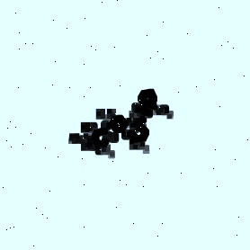 CN[C@@H]1[C@@H](O)[C@@H](O[C@@H]2[C@@H](O)[C@H](O[C@H]3O[C@H](CNS(=O)(=O)c4ccccc4[N+](=O)[O-])CC[C@H]3N)[C@@H](N)C[C@H]2N)OC[C@]1(C)O